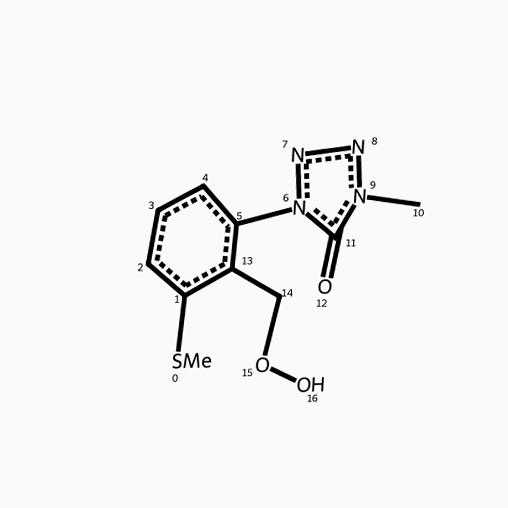 CSc1cccc(-n2nnn(C)c2=O)c1COO